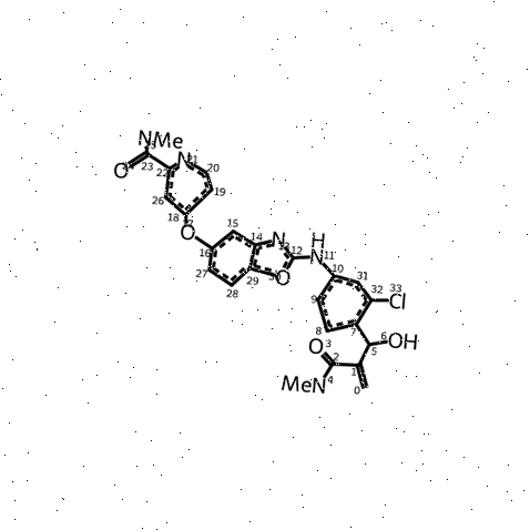 C=C(C(=O)NC)C(O)c1ccc(Nc2nc3cc(Oc4ccnc(C(=O)NC)c4)ccc3o2)cc1Cl